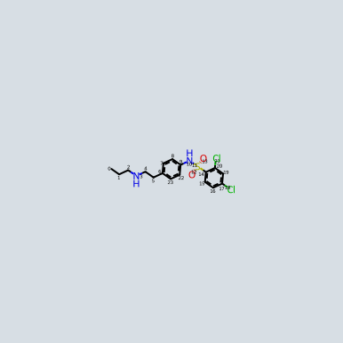 CCCNCCc1ccc(NS(=O)(=O)c2ccc(Cl)cc2Cl)cc1